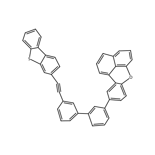 C(#Cc1ccc2c(c1)sc1ccccc12)c1cccc(-c2cccc(-c3ccc4c(c3)-c3cccc5cccc(c35)O4)c2)c1